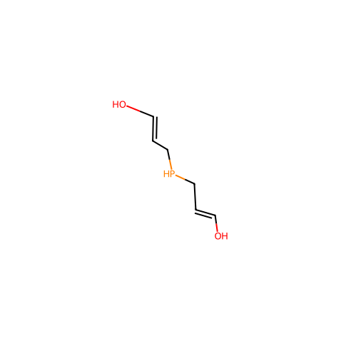 OC=CCPCC=CO